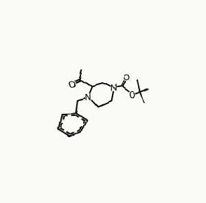 CC(=O)C1CN(C(=O)OC(C)(C)C)CCN1Cc1ccccc1